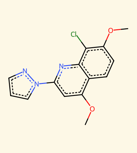 COc1ccc2c(OC)cc(-n3cccn3)nc2c1Cl